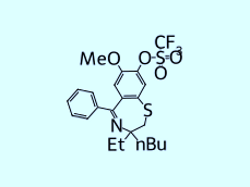 CCCCC1(CC)CSc2cc(OS(=O)(=O)C(F)(F)F)c(OC)cc2C(c2ccccc2)=N1